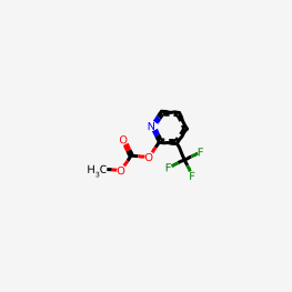 COC(=O)Oc1ncccc1C(F)(F)F